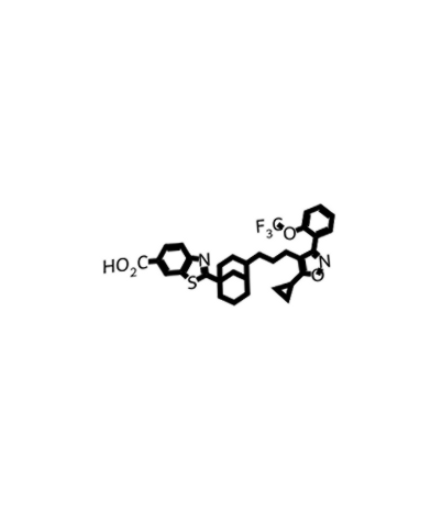 O=C(O)c1ccc2nc(C34CCCC(C3)C(CCCc3c(-c5ccccc5OC(F)(F)F)noc3C3CC3)CC4)sc2c1